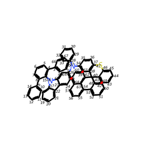 c1ccc(-c2cccc(-c3ccccc3)c2-n2c3ccccc3c3ccc(N(c4ccccc4)c4ccc5c(c4)C4(c6ccccc6S5)c5ccccc5-c5cccc6cccc4c56)cc32)cc1